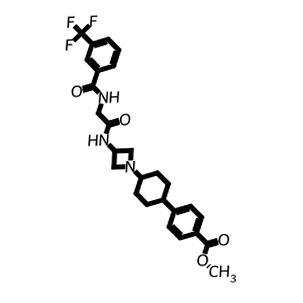 COC(=O)c1ccc(C2CCC(N3CC(NC(=O)CNC(=O)c4cccc(C(F)(F)F)c4)C3)CC2)cc1